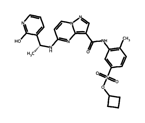 Cc1ccc(S(=O)(=O)OC2CCC2)cc1NC(=O)c1cnn2ccc(N[C@H](C)c3cccnc3O)nc12